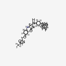 CC(C)(C)c1cnc(COc2ccc(/C=C3/SC(Nc4ccc(NS(=O)(=O)C(F)(F)F)cc4)=NC3=O)cc2)o1